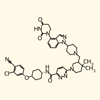 CC1(C)CCN(c2ccc(C(=O)N[C@H]3CC[C@H](Oc4ccc(C#N)c(Cl)c4)CC3)nn2)CC1CN1CCC(n2ncc3c(N4CCC(=O)NC4=O)cccc32)CC1